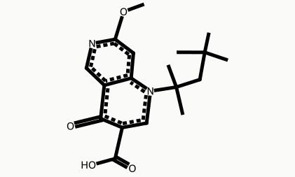 COc1cc2c(cn1)c(=O)c(C(=O)O)cn2C(C)(C)CC(C)(C)C